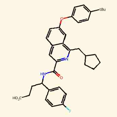 CC(C)(C)c1ccc(Oc2ccc3cc(C(=O)NC(CCC(=O)O)c4ccc(F)cc4)nc(CC4CCCC4)c3c2)cc1